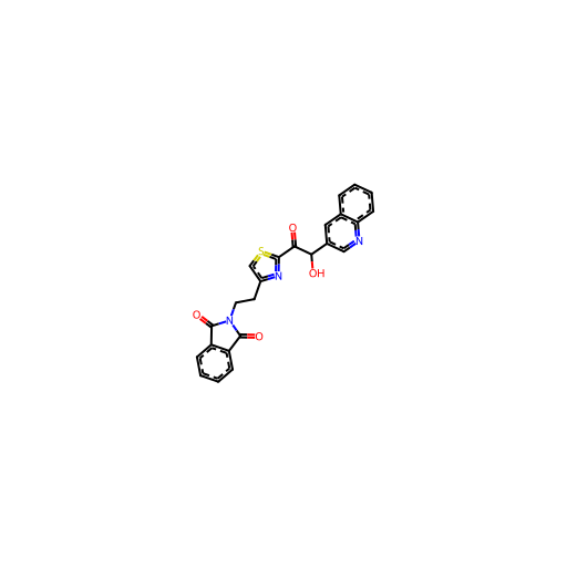 O=C(c1nc(CCN2C(=O)c3ccccc3C2=O)cs1)C(O)c1cnc2ccccc2c1